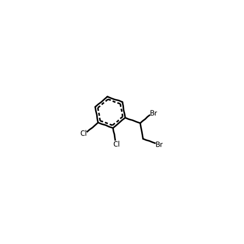 Clc1cccc(C(Br)CBr)c1Cl